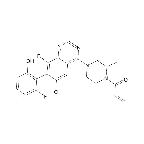 C=CC(=O)N1CCN(c2ncnc3c(F)c(-c4c(O)cccc4F)c(Cl)cc23)CC1C